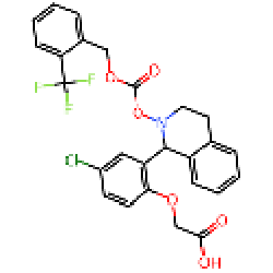 O=C(O)COc1ccc(Cl)cc1C1c2ccccc2CCN1OC(=O)OCc1ccccc1C(F)(F)F